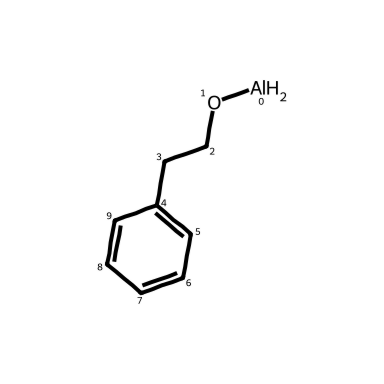 [AlH2][O]CCc1ccccc1